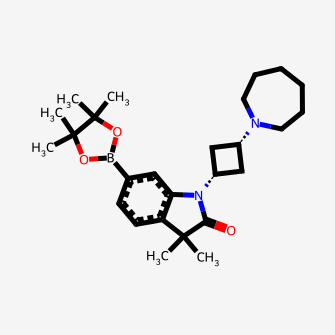 CC1(C)C(=O)N([C@H]2C[C@@H](N3CCCCCC3)C2)c2cc(B3OC(C)(C)C(C)(C)O3)ccc21